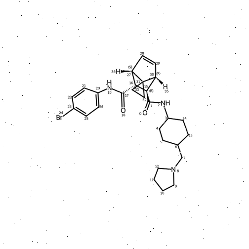 O=C(NC1CCC(CN2CCCC2)CC1)[C@H]1[C@H](C(=O)Nc2ccc(Br)cc2)[C@@H]2C=C[C@H]1C21CC1